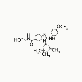 C[C@H]1C[C@@H](n2c(Nc3ccc(OC(F)(F)F)cc3)nc3ccc(C(=O)NCCO)cc32)CC(C)(C)C1